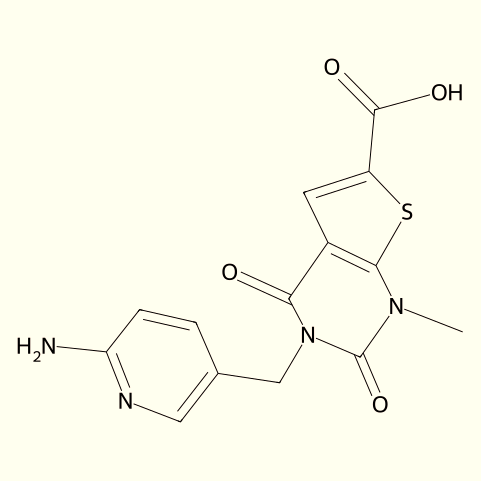 Cn1c(=O)n(Cc2ccc(N)nc2)c(=O)c2cc(C(=O)O)sc21